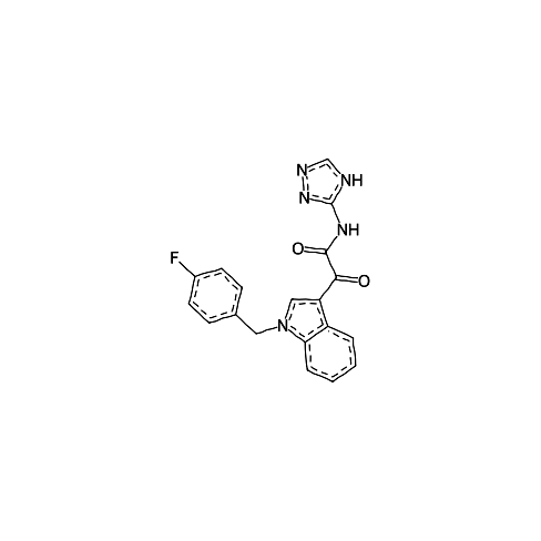 O=C(Nc1nnc[nH]1)C(=O)c1cn(Cc2ccc(F)cc2)c2ccccc12